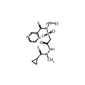 CCNN(C(=S)c1cnccn1)S(=O)(=O)CC(=O)NN(C)C(=S)C1CC1